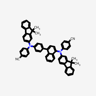 CC1(C)c2ccccc2-c2ccc(N(c3ccc(C#N)cc3)c3ccc(-c4ccc(N(c5ccc(C#N)cc5)c5ccc6c(c5)C(C)(C)c5ccccc5-6)c5ccccc45)cc3)cc21